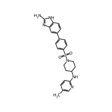 Cc1ccc(NC2CCN(S(=O)(=O)c3ccc(-c4ccc5[nH]c(N)nc5c4)cc3)CC2)nc1